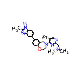 Cc1nc2cc(-c3ccc4c(c3)CN(c3nc(CN(C)C)ncc3C(C)C)CCO4)ccc2[nH]1